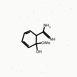 COC1(O)C=CC=CC1C(=N)N